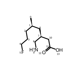 C[C@H](CCCF)C[C@H](CN)CC(=O)O